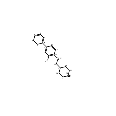 Fc1cc(C2=CC=CCC2)ccc1OCC1CCNCC1